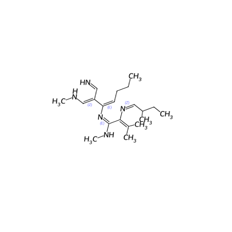 CCC/C=C(/N=C(/NC)C(/N=C\C(C)CC)=C(C)C)C(\C=N)=C\NC